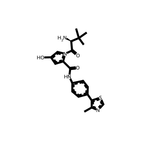 Cc1ncsc1-c1ccc(NC(=O)c2cc(O)cn2C(=O)[C@@H](N)C(C)(C)C)cc1